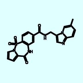 Cc1ccc2ncc(CNC(=O)c3ccc4c(c3)NC(=O)c3cccn3S4(=O)=O)n2c1